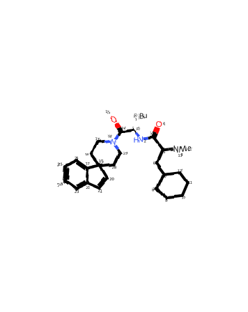 CC[C@H](C)[C@@H](NC(=O)C(CC1CCCCC1)NC)C(=O)N1CCC2(C=Cc3ccccc32)CC1